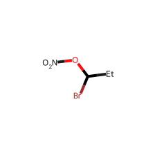 CCC(Br)O[N+](=O)[O-]